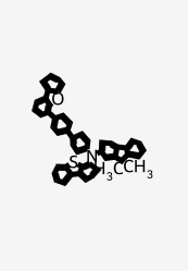 CC1(C)c2ccccc2-c2ccc(N(c3ccc(-c4ccc(-c5cccc6c5oc5ccccc56)cc4)cc3)c3cccc4c3sc3ccccc34)cc21